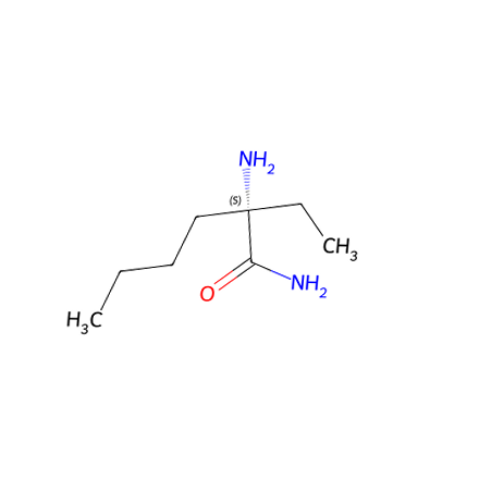 CCCC[C@@](N)(CC)C(N)=O